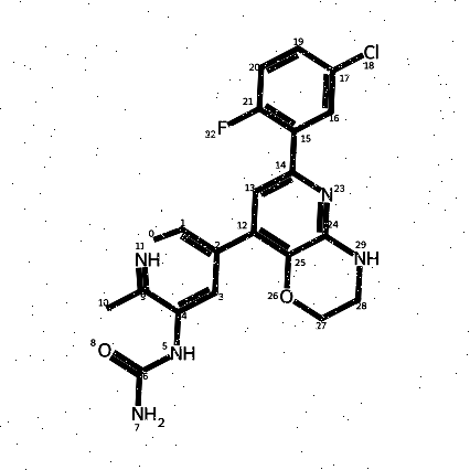 C/C=C(\C=C(\NC(N)=O)C(C)=N)c1cc(-c2cc(Cl)ccc2F)nc2c1OCCN2